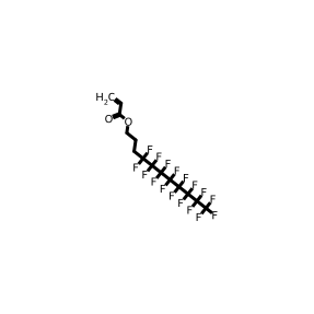 C=CC(=O)OCCCC(F)(F)C(F)(F)C(F)(F)C(F)(F)C(F)(F)C(F)(F)C(F)(F)C(F)(F)F